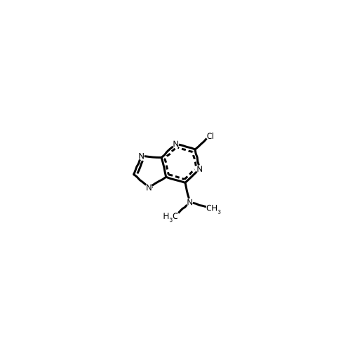 CN(C)c1nc(Cl)nc2c1[N]C=N2